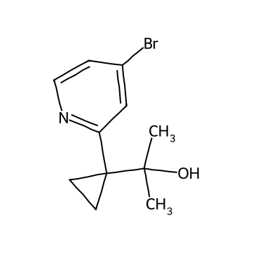 CC(C)(O)C1(c2cc(Br)ccn2)CC1